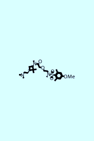 COc1cc(C)c(S(=O)(=O)N(C)CCOCC(=O)N(C)[C@@H]2C[C@H](CCN(C)C)C2(C)C)c(C)c1